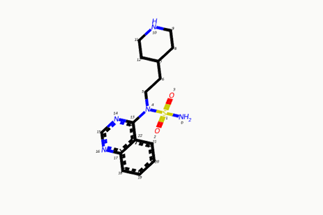 NS(=O)(=O)N(CCC1CCNCC1)c1ncnc2ccccc12